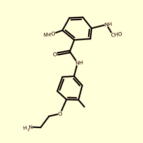 COc1ccc(NC=O)cc1C(=O)Nc1ccc(OCCN)c(C)c1